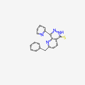 S=c1[nH]nc(-c2ccccn2)c2nc(Cc3ccccc3)ccc12